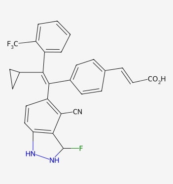 N#Cc1c(/C(=C(/c2ccccc2C(F)(F)F)C2CC2)c2ccc(/C=C/C(=O)O)cc2)ccc2c1C(F)NN2